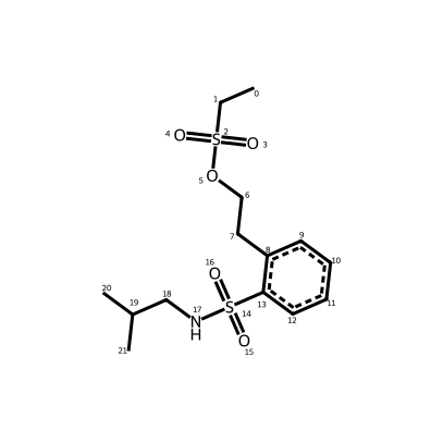 CCS(=O)(=O)OCCc1ccccc1S(=O)(=O)NCC(C)C